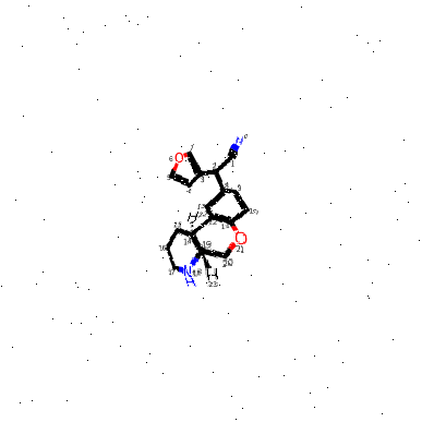 N#CC(c1ccoc1)c1ccc2c(c1)[C@@H]1CCCN[C@H]1CO2